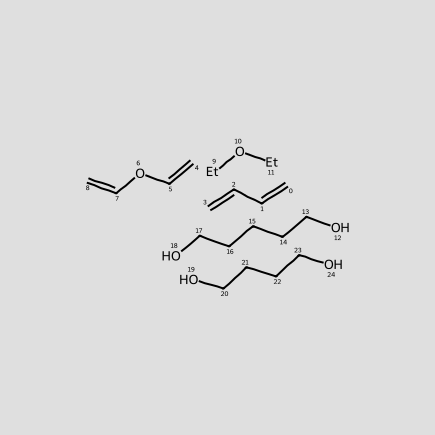 C=CC=C.C=COC=C.CCOCC.OCCCCCO.OCCCCO